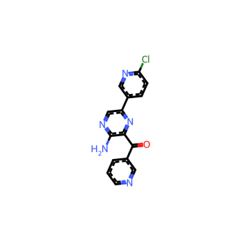 Nc1ncc(-c2ccc(Cl)nc2)nc1C(=O)c1cccnc1